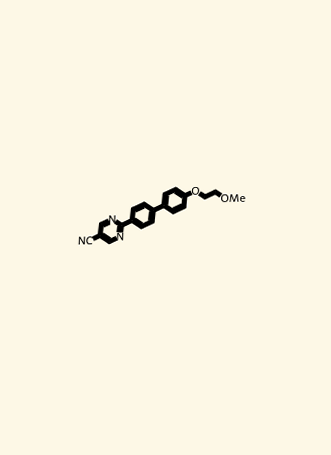 COCCOc1ccc(-c2ccc(-c3ncc(C#N)cn3)cc2)cc1